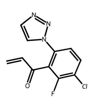 C=CC(=O)c1c(-n2ccnn2)ccc(Cl)c1F